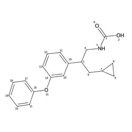 O=C(O)NCC(CC1CC1)c1cccc(Oc2ccccc2)c1